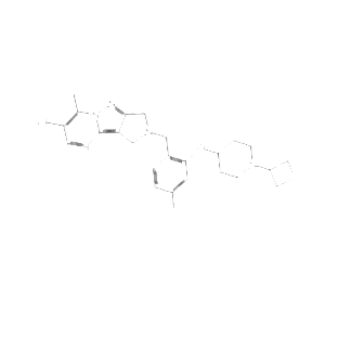 Cc1nc2c3c(nn2c(C)c1Cl)CN(Cc1ccc(F)cc1OC1CCN(C2COC2)CC1)C3